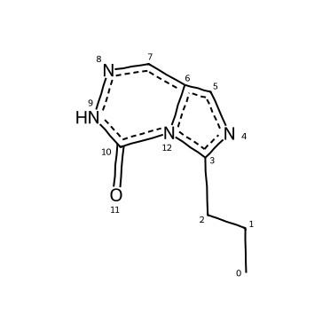 CCCc1ncc2cn[nH]c(=O)n12